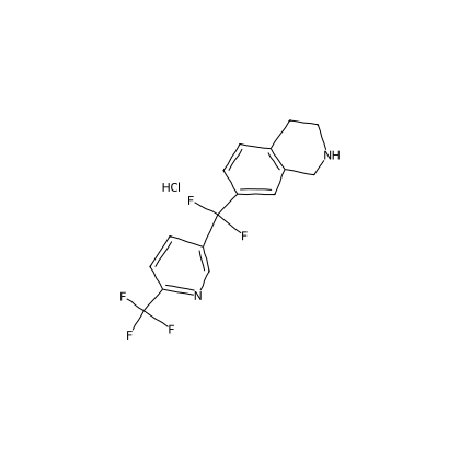 Cl.FC(F)(F)c1ccc(C(F)(F)c2ccc3c(c2)CNCC3)cn1